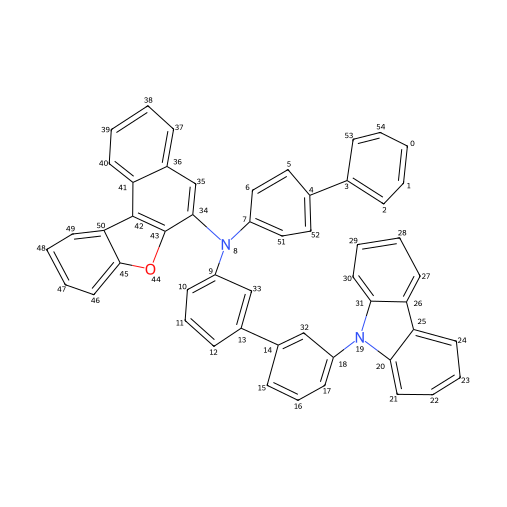 c1ccc(-c2ccc(N(c3cccc(-c4cccc(-n5c6ccccc6c6ccccc65)c4)c3)c3cc4ccccc4c4c3oc3ccccc34)cc2)cc1